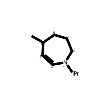 CC1C=CN(C(C)C)CCC1